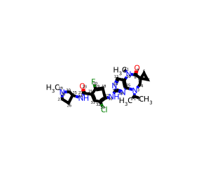 CC(C)N1CC2(CC2)C(=O)N(C)c2cnc(Nc3cc(F)c(C(=O)NC4CCN(C)C4)cc3Cl)nc21